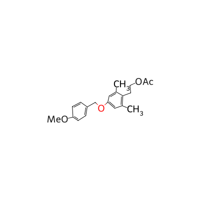 COc1ccc(COc2cc(C)c(CCOC(C)=O)c(C)c2)cc1